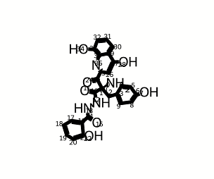 N[C@@](Cc1ccc(O)cc1)(C(=O)NNC(=O)c1ccccc1O)C(=O)c1cc(O)c2cccc(O)c2n1